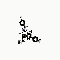 CC(C)OCCN/C(=N/C(=O)c1ccc(F)cc1)Nc1cc(-c2ccc(F)cc2)n[nH]1